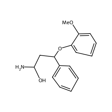 COc1ccccc1OC(CC(N)O)c1ccccc1